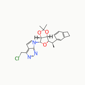 C[C@H](c1ccc2c(c1)CC2)[C@H]1O[C@@H](n2ccc3c(CCl)ncnc32)[C@@H]2OC(C)(C)O[C@@H]21